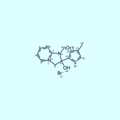 CCCCCCCCN1c2nccc[n+]2CC1(O)c1cc(C)cs1.[Br-]